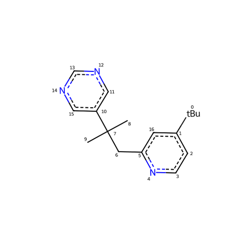 CC(C)(C)c1ccnc(CC(C)(C)c2cncnc2)c1